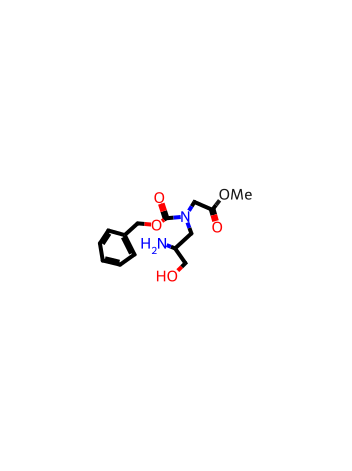 COC(=O)CN(CC(N)CO)C(=O)OCc1ccccc1